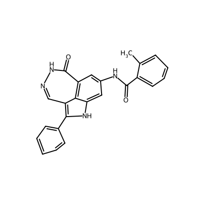 Cc1ccccc1C(=O)Nc1cc2c3c(c(-c4ccccc4)[nH]c3c1)C=NNC2=O